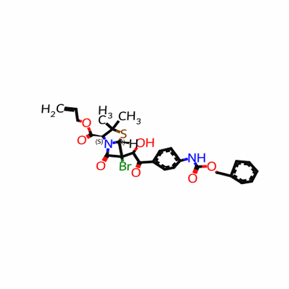 C=CCOC(=O)[C@@H]1N2C(=O)C(Br)(C(O)C(=O)c3ccc(NC(=O)OCc4ccccc4)cc3)[C@H]2SC1(C)C